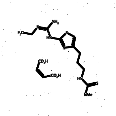 CNC(=S)NCCCc1csc(N/C(N)=N\CC(F)(F)F)n1.O=C(O)/C=C\C(=O)O